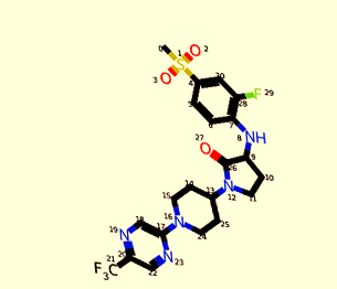 CS(=O)(=O)c1ccc(NC2CCN(C3CCN(c4cnc(C(F)(F)F)cn4)CC3)C2=O)c(F)c1